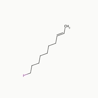 CC=CCCCCCCCI